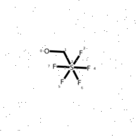 [O]CS(F)(F)(F)(F)F